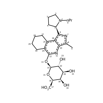 CCCN1CCC[C@@H]1c1nn(C)c2nc(O[C@@H]3O[C@H](C(=O)O)[C@H](O)[C@H](O)[C@H]3O)c3c(c12)CCCC3